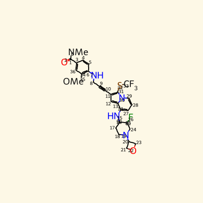 CNC(=O)c1ccc(NCC#Cc2cc3c(N[C@@H]4CCN(C5COC5)C[C@@H]4F)cccn3c2SC(F)(F)F)c(OC)c1